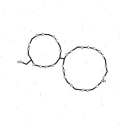 OCC1COCCOCCOCCOC(C2COCCOCCOCCNCCOCCOCCOCCO2)COCCO1